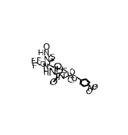 O=CNc1nc(C(=NOCC(F)(F)F)C(=O)NC2C(=O)N3CC(Cl)(C(=O)OCc4ccc([N+](=O)[O-])cc4)CS[C@H]23)cs1